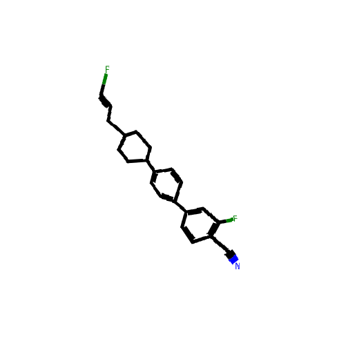 N#Cc1ccc(-c2ccc(C3CCC(CC=CF)CC3)cc2)cc1F